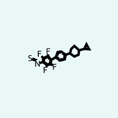 Fc1c(F)c(-c2ccc(C3CCC(C4CC4)CC3)cc2)c(F)c(F)c1N=C=S